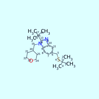 CC(C)(C)SCc1ccc2c(c1)nc(C(C)(C)C)n2CC1CCOCC1